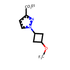 CCOC(=O)c1ccn(C2CC(OC(F)(F)F)C2)n1